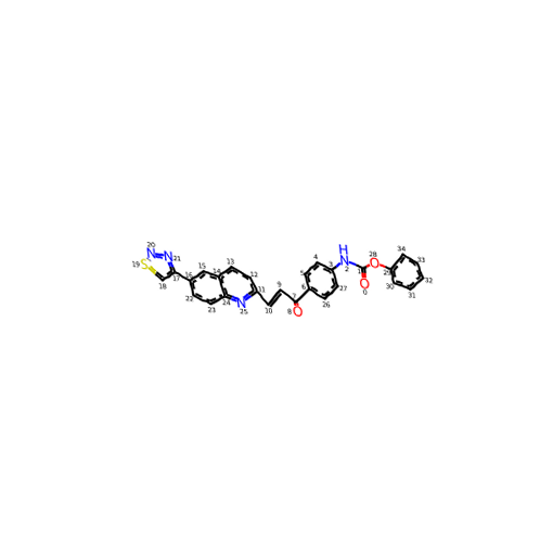 O=C(Nc1ccc(C(=O)/C=C/c2ccc3cc(-c4csnn4)ccc3n2)cc1)Oc1ccccc1